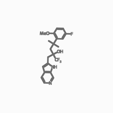 COc1ccc(F)cc1C(C)(C)CC(O)(Cc1cc2ccncc2[nH]1)C(F)(F)F